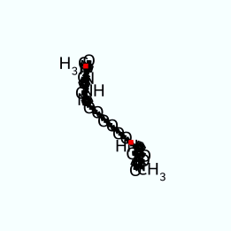 CN1C(=O)CCC(N2C(=O)c3cccc(NCCOCCOCCOCCOCCOCCOc4ccc(C(=O)Nc5ccc6oc(-c7ccc(=O)n(C)n7)nc6c5)nc4)c3C2=O)C1=O